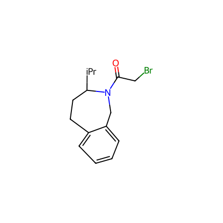 CC(C)C1CCc2ccccc2CN1C(=O)CBr